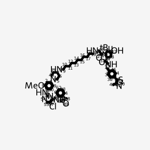 COc1cc(N2CCC(NCCCCCCCCCCCNC(C(=O)N3C[C@H](O)C[C@H]3C(=O)NCc3ccc(-c4scnc4C)cc3)C(C)(C)C)CC2)ccc1Nc1ncc(Cl)c(Nc2ccccc2P(C)(C)=O)n1